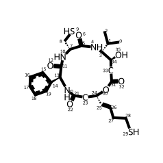 CC(C)[C@H]1NC(=O)[C@@H](CS)NC(=O)[C@H](c2ccccc2)NC(=O)C[C@@H](/C=C/CCS)OC(=O)C[C@@H]1O